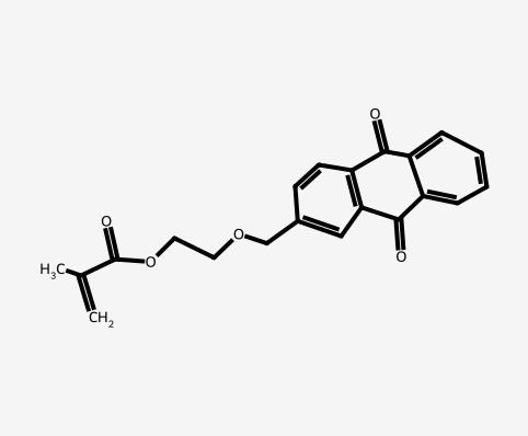 C=C(C)C(=O)OCCOCc1ccc2c(c1)C(=O)c1ccccc1C2=O